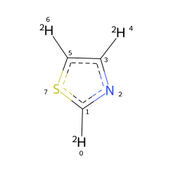 [2H]c1nc([2H])c([2H])s1